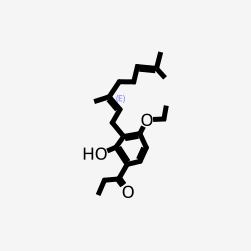 CCOc1ccc(C(=O)CC)c(O)c1C/C=C(\C)CCC=C(C)C